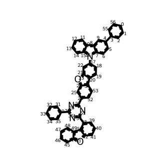 c1ccc(-c2ccc3c(c2)c2ccccc2n3-c2ccc3c(c2)oc2cc(-c4nc(-c5ccccc5)nc(-c5cccc6oc7ccccc7c56)n4)ccc23)cc1